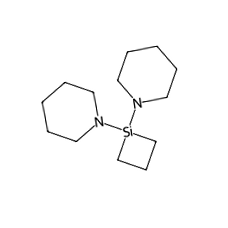 C1CCN([Si]2(N3CCCCC3)CCC2)CC1